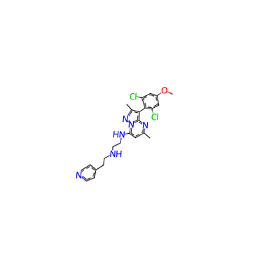 COc1cc(Cl)c(-c2c(C)nn3c(NCCNCCc4ccncc4)cc(C)nc23)c(Cl)c1